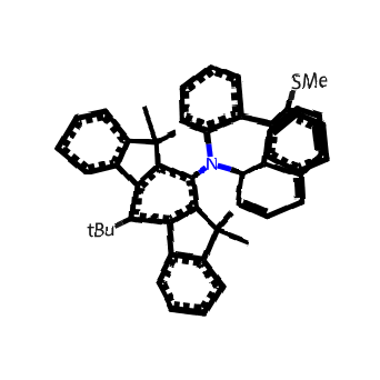 CSc1ccccc1-c1ccccc1N(c1c2c(c(C(C)(C)C)c3c1C(C)(C)c1ccccc1-3)-c1ccccc1C2(C)C)C1C=CC=C2C=CC=CC21